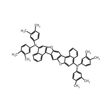 Cc1ccc(N(c2ccc(C)c(C)c2)c2cc3oc4cc5c(cc4c3c3ccccc23)oc2cc(N(c3ccc(C)c(C)c3)c3ccc(C)c(C)c3)c3ccccc3c25)cc1C